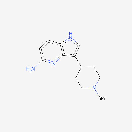 CC(C)N1CCC(c2c[nH]c3ccc(N)nc23)CC1